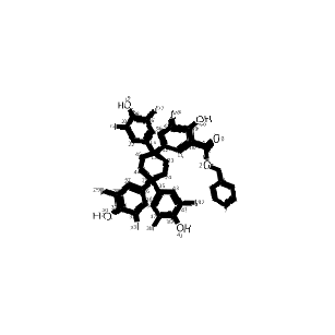 O=C(OCc1ccccc1)c1cc(C2(c3cc(I)c(O)c(I)c3)CCC(c3cc(I)c(O)c(I)c3)(c3cc(I)c(O)c(I)c3)CC2)cc(I)c1O